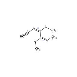 C#C/C=C(CC)\C(=C/C)CC